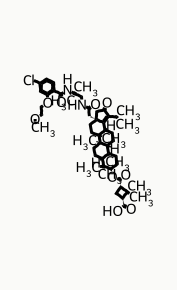 COCCOc1cc(Cl)ccc1C(=O)NC(C)(C)CNC(=O)C[C@@]12CC[C@]3(C)[C@H](CC[C@@H]4[C@@]5(C)CC[C@H](OC(=O)[C@H]6C[C@@H](C(=O)O)C6(C)C)C(C)(C)[C@@H]5CC[C@]43C)C1=C(C(C)C)C(=O)C2